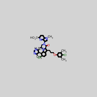 Cc1cc(OCCCc2c3n(c4c(-c5c(C)ncnc5C)c(Cl)ccc24)C(C)CN(c2cn(C)c4ccc(C(=O)O)nc24)C3=O)cc(C)c1Cl